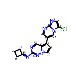 Clc1cnc2ncc(-c3ccn4nc(N=C5CCC5)ncc34)cn12